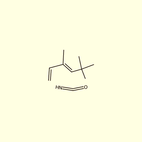 C=CC(C)=CC(C)(C)C.N=C=O